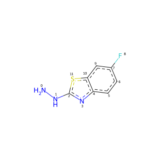 NNc1nc2ccc(F)cc2s1